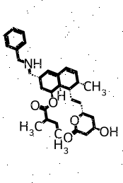 CCC(C)C(=O)O[C@H]1C[C@H](CNCc2ccccc2)C=C2C=C[C@H](C)[C@H](CC[C@@H]3C[C@@H](O)CC(=O)O3)[C@H]21